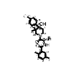 Cc1ccc(C)c(C(=O)N[C@@H](C(=O)N2CC[C@](O)(c3ccc(Cl)cc3)C(C)(C)C2)C(C)C)c1